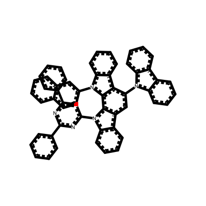 c1ccc(-c2nc(-c3ccccc3)nc(-n3c4ccccc4c4cc(-n5c6ccccc6c6ccccc65)c5c6ccccc6n(-c6ccc7ccccc7c6)c5c43)n2)cc1